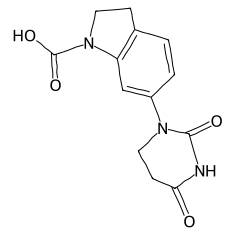 O=C1CCN(c2ccc3c(c2)N(C(=O)O)CC3)C(=O)N1